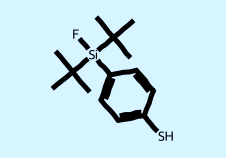 CC(C)(C)[Si](F)(c1ccc(S)cc1)C(C)(C)C